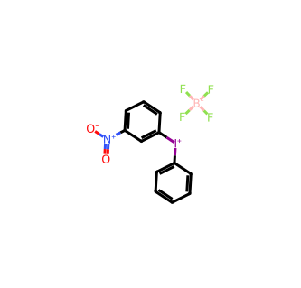 F[B-](F)(F)F.O=[N+]([O-])c1cccc([I+]c2ccccc2)c1